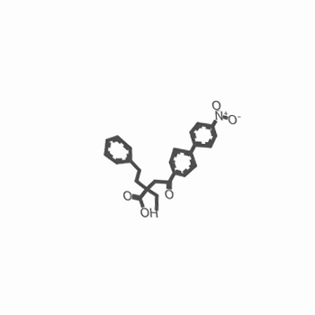 CCC(CCc1ccccc1)(CC(=O)c1ccc(-c2ccc([N+](=O)[O-])cc2)cc1)C(=O)O